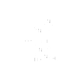 Cc1c(C(=O)C2CSN(c3cccnc3)C2)c2ccccc2n1C(=O)N(C)C